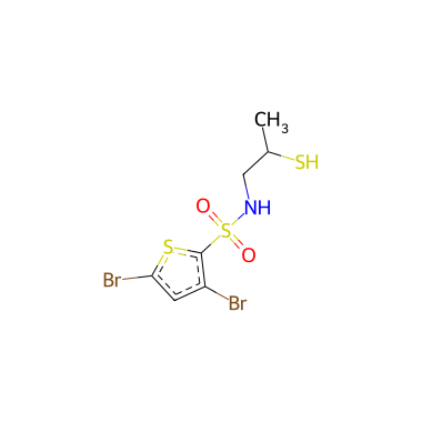 CC(S)CNS(=O)(=O)c1sc(Br)cc1Br